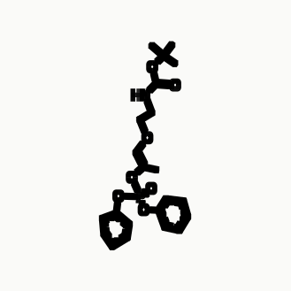 C/C(=C\OCCNC(=O)OC(C)(C)C)OP(=O)(Oc1ccccc1)Oc1ccccc1